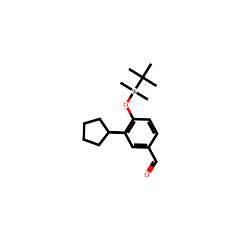 CC(C)(C)[Si](C)(C)Oc1ccc(C=O)cc1C1CCCC1